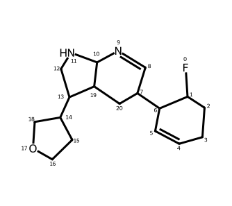 FC1CCC=CC1C1C=NC2NCC(C3CCOC3)C2C1